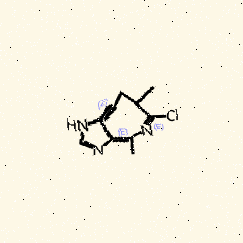 CC1=c2\nc[nH]\c2=C/CC(C)/C(Cl)=N\1